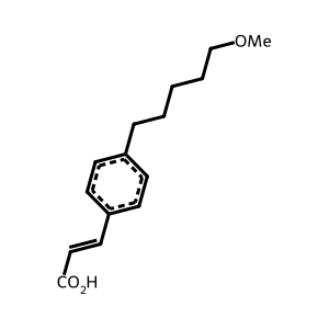 COCCCCCc1ccc(/C=C/C(=O)O)cc1